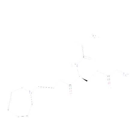 CO[C@@H](C)C(=O)N[C@@H](CCC(=O)C=N)C(=O)OCCN1CCCCCC1